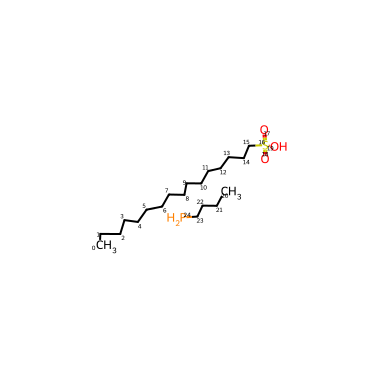 CCCCCCCCCCCCCCCCS(=O)(=O)O.CCCCP